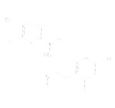 COc1ccc(C(=O)NC[C@H](Cc2c(C)cc(O)cc2C)N(C)C)cc1Cl